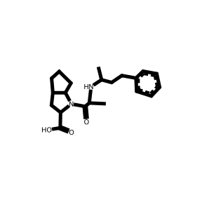 CC(CCc1ccccc1)NC(C)C(=O)N1C(C(=O)O)CC2CCCC21